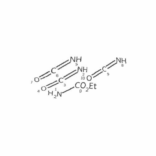 CCOC(N)=O.N=C=O.N=C=O.N=C=O